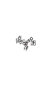 CCC[C@H]1N(C(=O)c2cnccc2C(F)(F)F)CCC[C@@]1(Oc1csc(C(F)(F)F)c1)C(=O)N1CCN(c2ccccc2NC(=O)COC)CC1